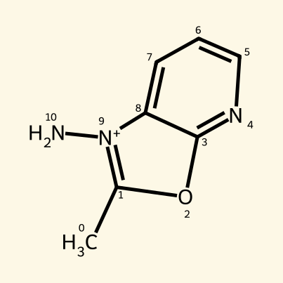 Cc1oc2ncccc2[n+]1N